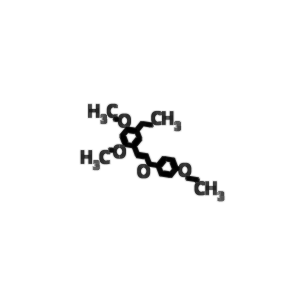 CCCOc1ccc(C(=O)C=Cc2cc(CCC)c(OCC)cc2OCC)cc1